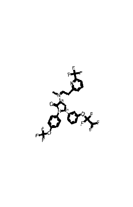 CN(CCc1cccc(C(F)(F)F)n1)[C@@H]1C[C@H](c2cccc(OC(F)(F)C(F)F)c2)N(c2ccc(OC(F)(F)F)cc2)C1=O